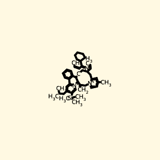 C=C1C[n+]2ccc(C)cc2CC(/C=C\C)(N=C(/C=C\C)C2CCCCC2)CCC2c3ccccc3-c3cc(CC(C)C)c([Si](C)(C)C)c[n+]3C12